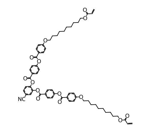 C=CC(=O)OCCCCCCCCCCOc1ccc(C(=O)Oc2ccc(C(=O)Oc3ccc(C#N)cc3OC(=O)c3ccc(OC(=O)c4ccc(OCCCCCCCCCCOC(=O)C=C)cc4)cc3)cc2)cc1